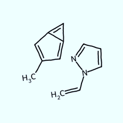 C=Cn1cccn1.Cc1cc2cc-2c1